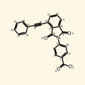 O=C(Cl)c1ccc(N2C(=O)c3cccc(C#Cc4ccccc4)c3C2=O)cc1